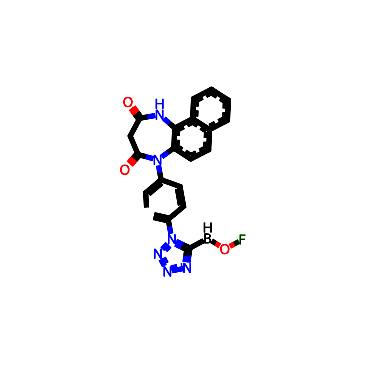 C=C(/C=C\C(=C/C)N1C(=O)CC(=O)Nc2c1ccc1ccccc21)n1nnnc1BOF